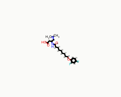 CN(C)CC(CC(=O)O)NC(=O)CCCCCCCCOc1ccc(F)cc1F